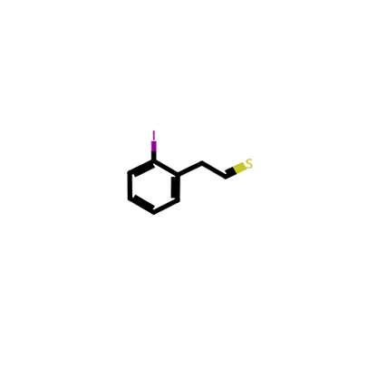 S=CCc1ccccc1I